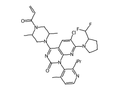 C=CC(=O)N1CC(C)N(c2nc(=O)n(-c3c(C)ccnc3C(C)C)c3nc(N4CCCC4C(F)F)c(Cl)cc23)CC1C